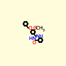 COc1cc(C2NC(=O)c3ccccc3N2)ccc1OCc1ccccc1